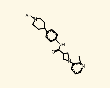 CC(=O)N1CCC(c2ccc(NC(=O)C3CN(c4cccnc4C)C3)cc2)CC1